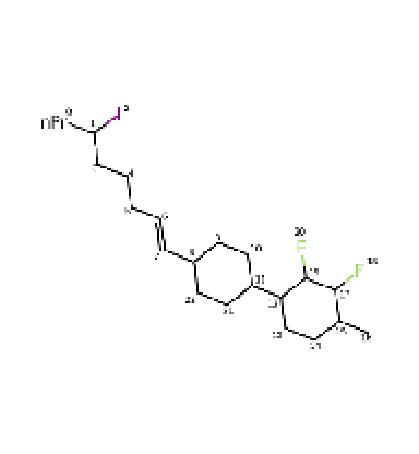 CCCC(I)CCCC=CC1CCC(C2CCC(C)C(F)C2F)CC1